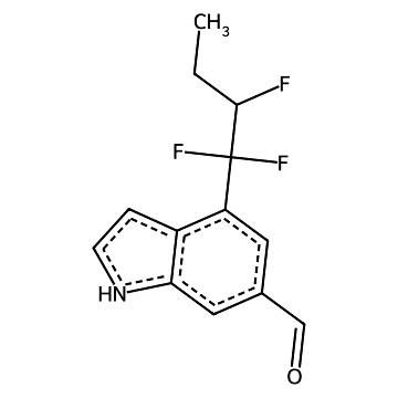 CCC(F)C(F)(F)c1cc(C=O)cc2[nH]ccc12